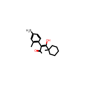 Bc1ccc(/C(C(C)=O)=C(\O)C2(C)CCCCC2)c(C)c1